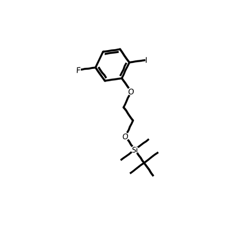 CC(C)(C)[Si](C)(C)OCCOc1cc(F)ccc1I